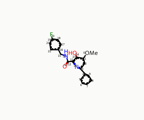 COc1cc(-c2ccccc2)nc(C(=O)NCc2ccc(F)cc2)c1O